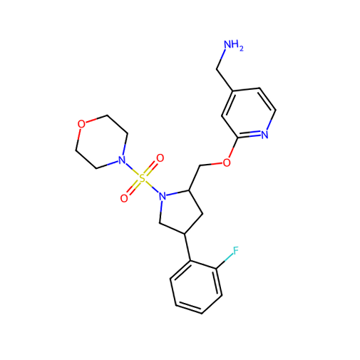 NCc1ccnc(OCC2CC(c3ccccc3F)CN2S(=O)(=O)N2CCOCC2)c1